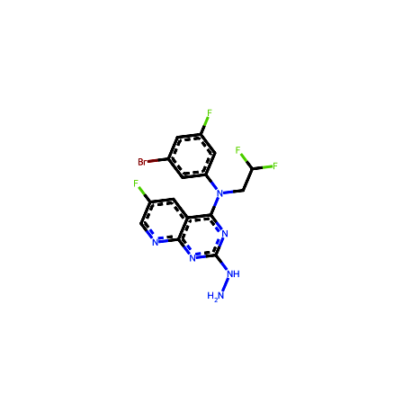 NNc1nc(N(CC(F)F)c2cc(F)cc(Br)c2)c2cc(F)cnc2n1